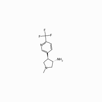 CN1C[C@@H](N)[C@H](c2ccc(C(F)(F)F)nc2)C1